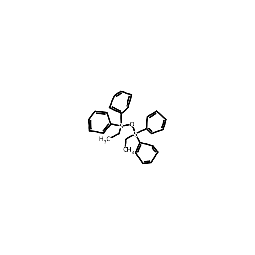 CCS(OS(CC)(c1ccccc1)c1ccccc1)(c1ccccc1)c1ccccc1